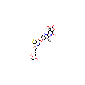 CCc1c2c(nc3ccc(OC(=O)N4CCN(C(=O)CCCCCN5C(=O)C=CC5=O)C5CSSCC54)cc13)-c1cc3c(c(=O)n1C2)COC(=O)[C@]3(O)CC